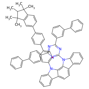 CC1C(C)(C)c2ccc(-c3ccc(-c4ccc(-n5c6ccccc6c6ccc7c8ccccc8n(-c8nc(-c9ccc(-c%10ccccc%10)cc9)nc(-c9cccc(-c%10ccccc%10)c9)n8)c7c65)cc4)cc3)cc2C1(C)C